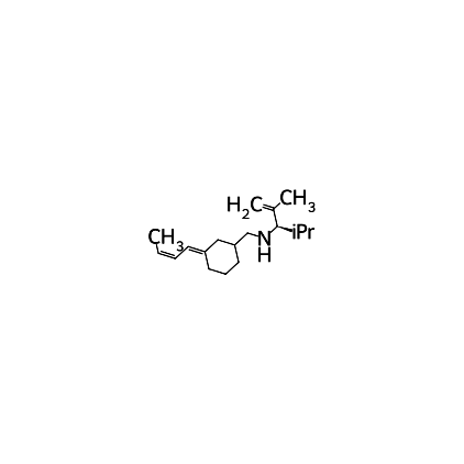 C=C(C)[C@H](NCC1CCC/C(=C\C=C/C)C1)C(C)C